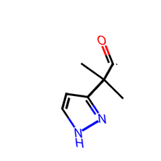 CC(C)([C]=O)c1cc[nH]n1